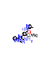 COc1cc(-c2nc([C@@H]3CCCCN3)n3ccnc(N)c23)ccc1C(=O)Nc1cc(C)ccn1